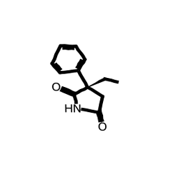 CC[C@@]1(c2ccccc2)CC(=O)NC1=O